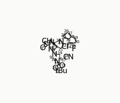 C[S+]([O-])c1nc2c(c(N3CCN(C(=O)OC(C)(C)C)[C@@H](CC#N)C3)n1)CCN(c1cccc3ccc(F)c(Cl)c13)C2